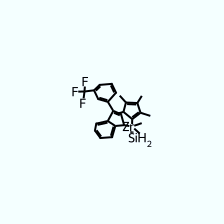 CC1=C(C)C(C)[C]([Zr]([CH3])([CH3])(=[SiH2])[CH]2C=C(c3cccc(C(F)(F)F)c3)c3ccccc32)=C1C